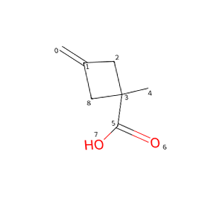 C=C1CC(C)(C(=O)O)C1